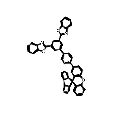 c1ccc2c(c1)Oc1ccc(-c3ccc(-c4cc(-c5nc6ccccc6o5)cc(-c5nc6ccccc6o5)c4)cc3)cc1C21c2ccccc2-c2ccccc21